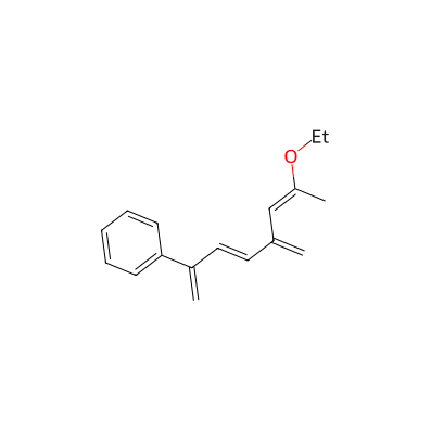 C=C(/C=C/C(=C)c1ccccc1)/C=C(\C)OCC